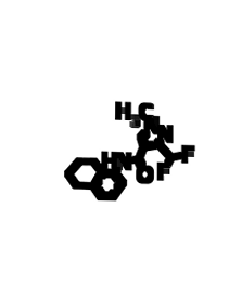 Cn1cc(C(=O)Nc2cccc3c2CCCC3)c(C(F)F)n1